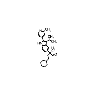 Cc1cc(-c2[nH]c3ccc(C(C)(C=O)CCC4CCCCC4)cc3c2C(C)C)ccn1